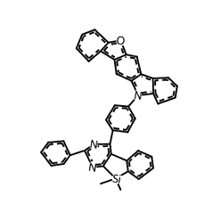 C[Si]1(C)c2ccccc2-c2c(-c3ccc(-n4c5ccccc5c5cc6oc7ccccc7c6cc54)cc3)nc(-c3ccccc3)nc21